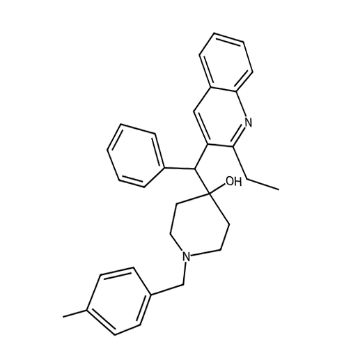 CCc1nc2ccccc2cc1C(c1ccccc1)C1(O)CCN(Cc2ccc(C)cc2)CC1